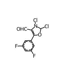 O=CC1=C(c2cc(F)cc(F)c2)OC(Cl)N1Cl